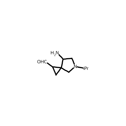 CC(C)N1CC(N)C2(CC2C=O)C1